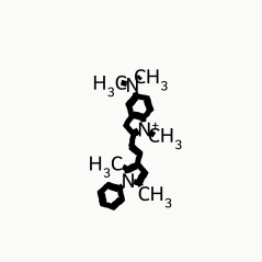 Cc1cc(/C=C/C2=[N+](C)c3ccc(N(C)C)cc3C2)c(C)n1-c1ccccc1